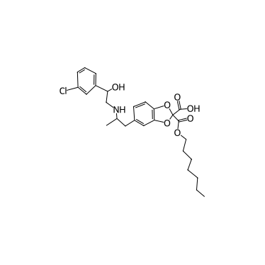 CCCCCCCOC(=O)C1(C(=O)O)Oc2ccc(CC(C)NCC(O)c3cccc(Cl)c3)cc2O1